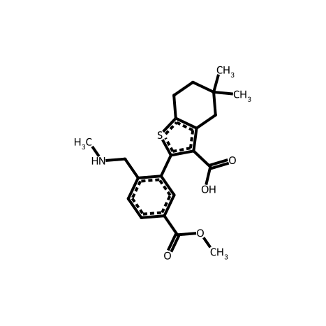 CNCc1ccc(C(=O)OC)cc1-c1sc2c(c1C(=O)O)CC(C)(C)CC2